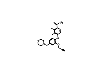 C#CCOc1cc(CN2CCOCC2)ccc1Oc1ccc(C(=O)CCC)c(C)c1C